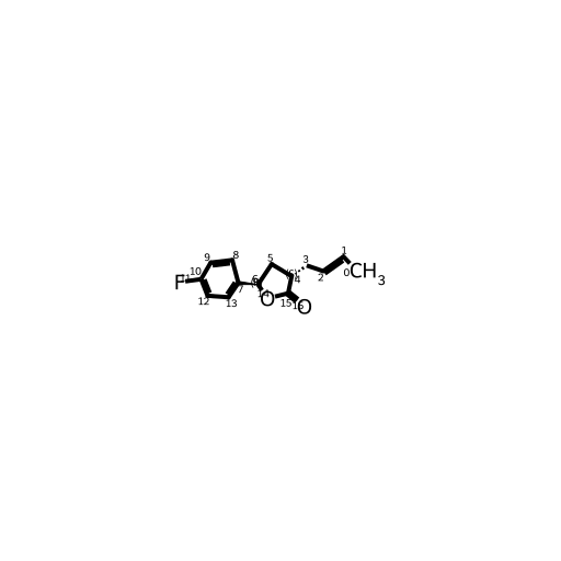 CC=CC[C@H]1C[C@H](c2ccc(F)cc2)OC1=O